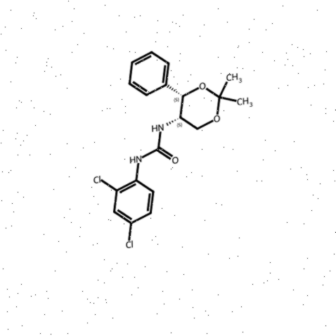 CC1(C)OC[C@H](NC(=O)Nc2ccc(Cl)cc2Cl)[C@H](c2ccccc2)O1